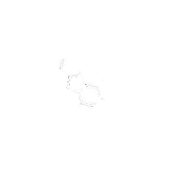 Cc1ncc(C)n2nc(C=O)nc12